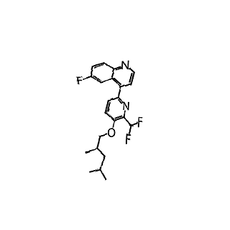 CC(C)C[C@@H](C)COc1ccc(-c2ccnc3ccc(F)cc23)nc1C(F)F